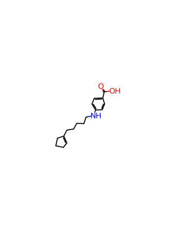 O=C(O)c1ccc(NCCCCCC2=CCCC2)cc1